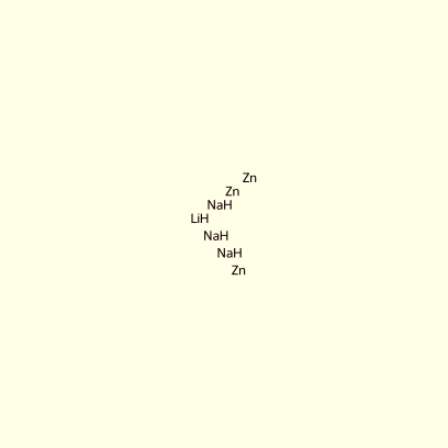 [LiH].[NaH].[NaH].[NaH].[Zn].[Zn].[Zn]